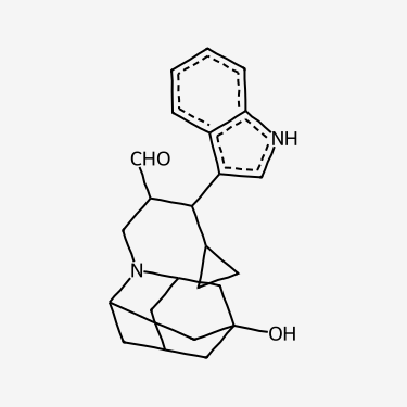 O=CC(CN1C2CC3CC1CC(O)(C3)C2)C(c1c[nH]c2ccccc12)C1CC1